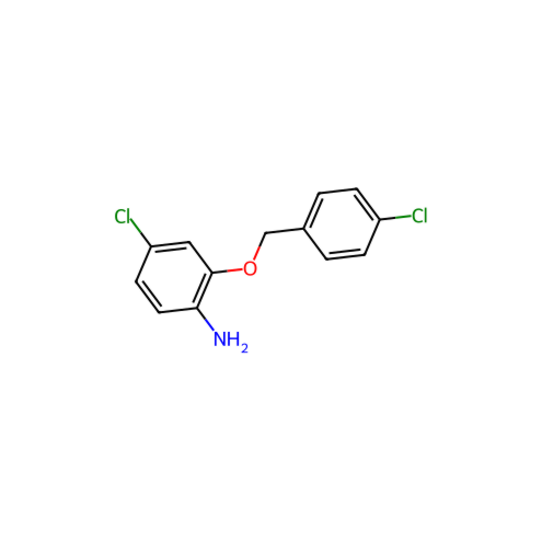 Nc1ccc(Cl)cc1OCc1ccc(Cl)cc1